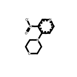 O=[N+]([O-])c1cnccc1N1CCOCC1